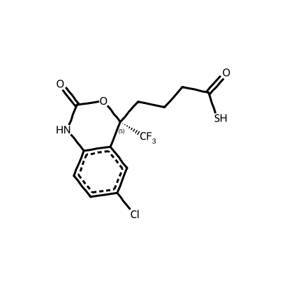 O=C(S)CCC[C@]1(C(F)(F)F)OC(=O)Nc2ccc(Cl)cc21